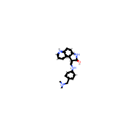 CN(C)Cc1ccc(NC=C2C(=O)Nc3ccc4ncccc4c32)cc1